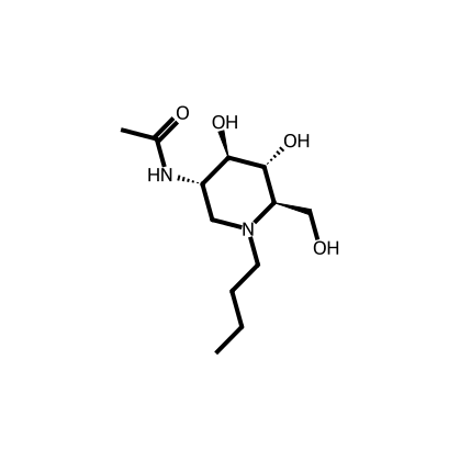 CCCCN1C[C@H](NC(C)=O)[C@@H](O)[C@H](O)[C@H]1CO